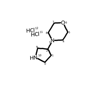 C1CC(N2CCOCC2)CN1.Cl.Cl